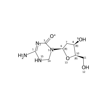 NC1=NC(=O)N([C@H]2C[C@@H](O)[C@@H](CO)O2)CN1